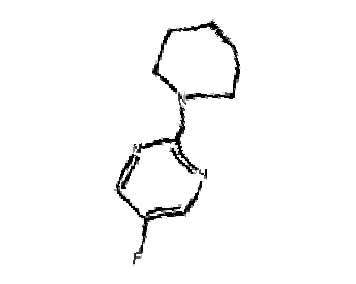 Fc1cnc(N2CC[CH]CC2)nc1